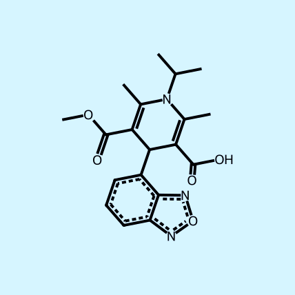 COC(=O)C1=C(C)N(C(C)C)C(C)=C(C(=O)O)C1c1cccc2nonc12